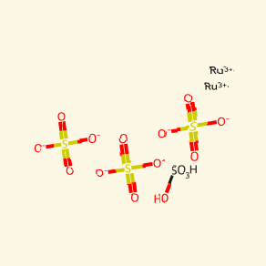 O=S(=O)(O)O.O=S(=O)([O-])[O-].O=S(=O)([O-])[O-].O=S(=O)([O-])[O-].[Ru+3].[Ru+3]